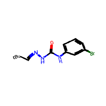 CC(C)(C)/C=N/NC(=O)Nc1cccc(Br)c1